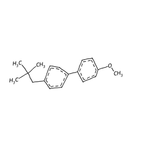 COc1ccc(-c2ccc(CC(C)(C)C)cc2)cc1